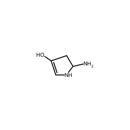 NC1CC(O)=CN1